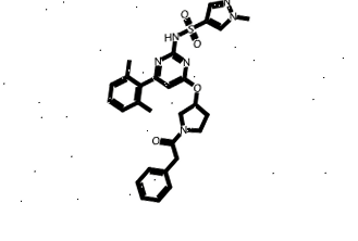 Cc1cccc(C)c1-c1cc(OC2CCN(C(=O)Cc3ccccc3)C2)nc(NS(=O)(=O)c2cnn(C)c2)n1